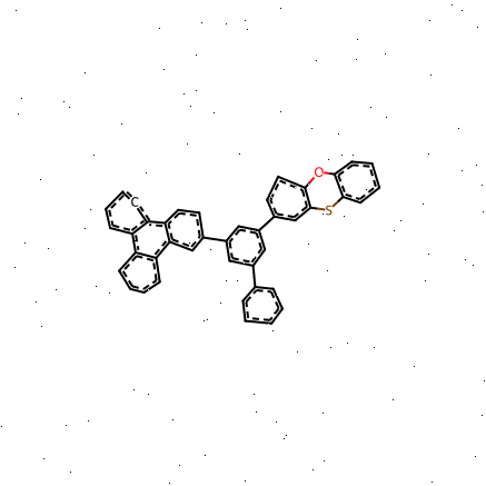 c1ccc(-c2cc(-c3ccc4c(c3)Sc3ccccc3O4)cc(-c3ccc4c5ccccc5c5ccccc5c4c3)c2)cc1